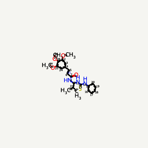 COc1cc(/C=C/C(=O)NC(NC(=S)Nc2ccccc2)C(C)C)cc(OC)c1OC